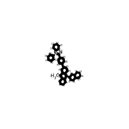 Cc1c2ccccc2c(-c2ccc3ccccc3c2)c2ccc(-c3ccc(-c4nc5ccccc5n4-c4ccccc4)cc3)cc12